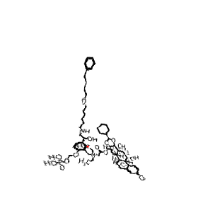 CC[N+](CC)(CC(=O)OCC(=O)[C@@]12O[C@H](C3CCCCC3)O[C@@H]1C[C@H]1[C@@H]3CCC4=CC(=O)C=C[C@]4(C)[C@H]3[C@@H](O)C[C@@]12C)Cc1cc(C(O)CNCCCCCCOCCCCc2ccccc2)ccc1OCOP(=O)(O)O